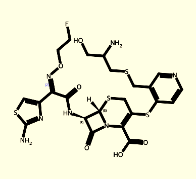 Nc1nc(/C(=N/OCCF)C(=O)N[C@@H]2C(=O)N3C(C(=O)O)=C(Sc4ccncc4CSCC(N)CO)CS[C@@H]23)cs1